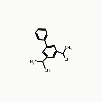 CC(C)c1[c]c(C(C)C)cc(-c2ccccc2)c1